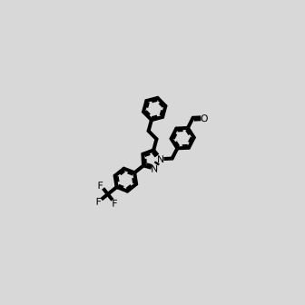 O=Cc1ccc(Cn2nc(-c3ccc(C(F)(F)F)cc3)cc2CCc2ccccc2)cc1